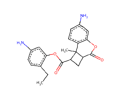 CCc1ccc(N)cc1OC(=O)C1CC2C(=O)Oc3cc(N)ccc3C12C